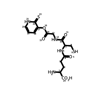 NC(CCC(=O)NC(CS)C(=O)NCC(=O)Oc1ccc[nH]c1=S)C(=O)O